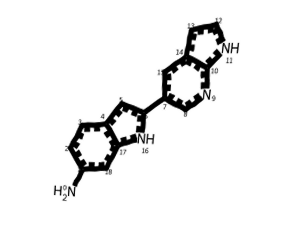 Nc1ccc2cc(-c3cnc4[nH]ccc4c3)[nH]c2c1